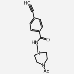 C#Cc1ccc(C(=O)NN2CCN(C(C)=O)CC2)cc1